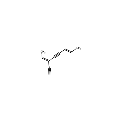 [C]#CC(C#CC=CC)=CC